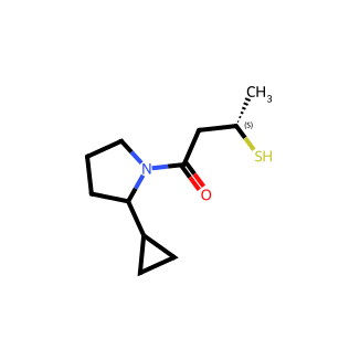 C[C@H](S)CC(=O)N1CCCC1C1CC1